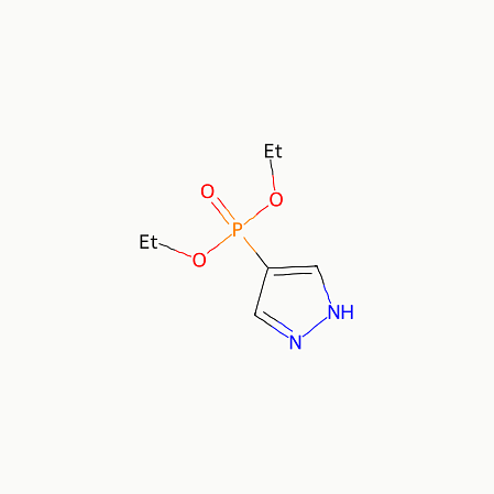 CCOP(=O)(OCC)c1cn[nH]c1